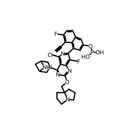 C#Cc1c(F)ccc2cc(OP(O)O)cc(-c3nc(Cl)c4c(N5CC6CC(C5)N6)nc(OCC56CCCN5CCC6)nc4c3F)c12